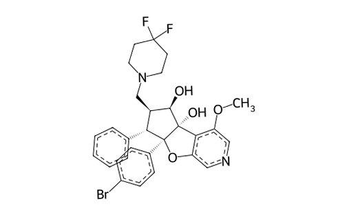 COc1cncc2c1[C@]1(O)[C@H](O)[C@H](CN3CCC(F)(F)CC3)[C@@H](c3ccccc3)[C@]1(c1ccc(Br)cc1)O2